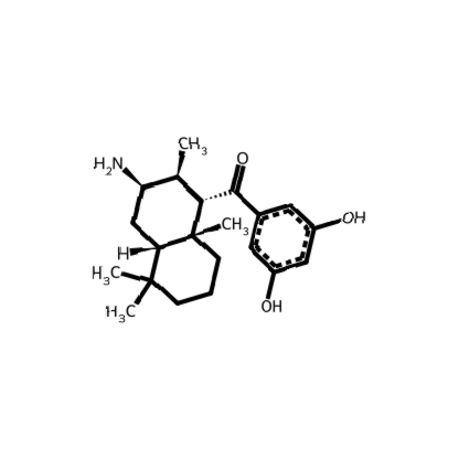 C[C@@H]1[C@H](N)C[C@H]2C(C)(C)CCC[C@@]2(C)[C@H]1C(=O)c1cc(O)cc(O)c1